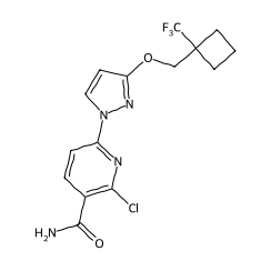 NC(=O)c1ccc(-n2ccc(OCC3(C(F)(F)F)CCC3)n2)nc1Cl